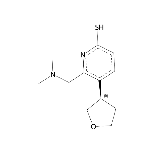 CN(C)Cc1nc(S)ccc1[C@H]1CCOC1